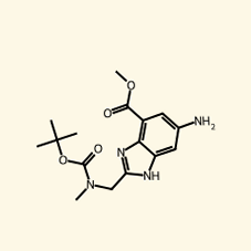 COC(=O)c1cc(N)cc2[nH]c(CN(C)C(=O)OC(C)(C)C)nc12